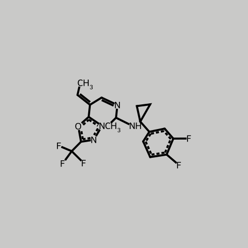 C/C=C(\C=N/C(C)NC1(c2ccc(F)c(F)c2)CC1)c1nnc(C(F)(F)F)o1